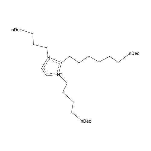 CCCCCCCCCCCCCCCCc1n(CCCCCCCCCCCCC)cc[n+]1CCCCCCCCCCCCCC